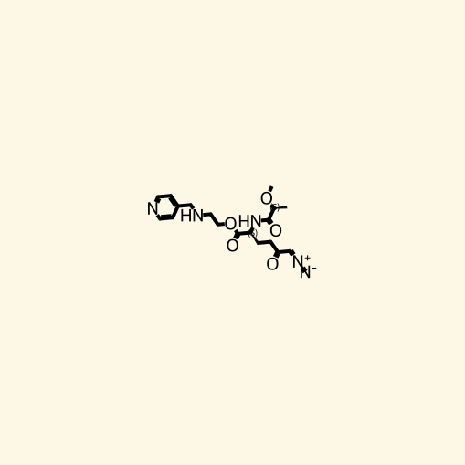 CO[C@@H](C)C(=O)N[C@@H](CCC(=O)C=[N+]=[N-])C(=O)OCCNCc1ccncc1